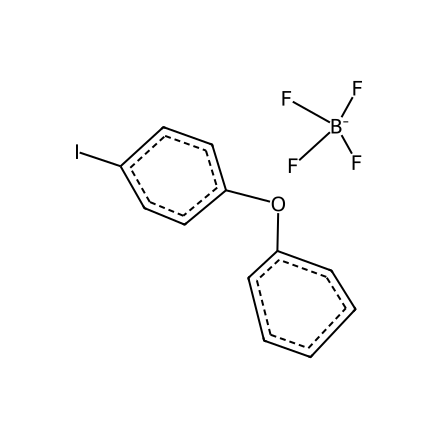 F[B-](F)(F)F.Ic1ccc(Oc2ccccc2)cc1